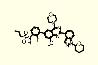 CCCS(=O)(=O)Nc1cccc(-c2cc(OC)c3nc(-c4cccc5c4cnn5C4CCCCO4)nc(N4CCOCC4)c3c2)c1F